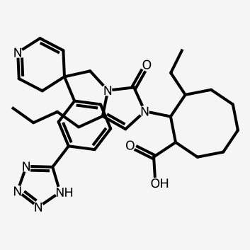 CCCCc1cn(C2C(CC)CCCCCC2C(=O)O)c(=O)n1CC1(c2cccc(-c3nnn[nH]3)c2)C=CN=CC1